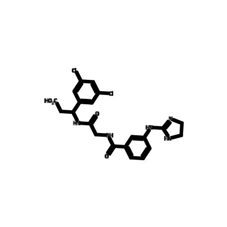 O=C(O)CC(NC(=O)CNC(=O)c1cccc(NC2=NCCN2)c1)c1cc(Cl)cc(Cl)c1